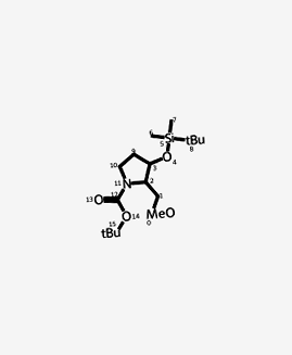 COCC1C(O[Si](C)(C)C(C)(C)C)CCN1C(=O)OC(C)(C)C